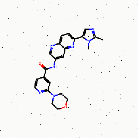 Cc1ncc(-c2ccc3ncc(NC(=O)c4ccnc(N5CCOCC5)c4)cc3n2)n1C